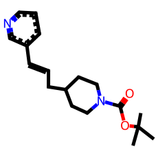 CC(C)(C)OC(=O)N1CCC(CC=Cc2cccnc2)CC1